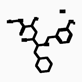 CCCCNC(=O)C(CC(O)C(CC1CCCCC1)NCc1cccc(C)c1)C(C)C.Cl